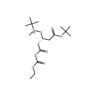 CCOC(=O)OC(=O)C[C@@H](CC(=O)OC(C)(C)C)O[SiH](C)C(C)(C)C